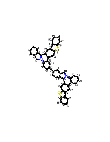 c1ccc2c(c1)cn1c3ccc(-c4ccc5c(c4)cn4c6ccccc6c6cc7c(cc6c54)sc4ccccc47)cc3c3cc4sc5ccccc5c4cc3c21